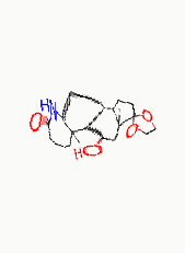 CC12CCC(=O)NC1=CCC1C2C(O)CC2(C)C1CCC21OCCO1